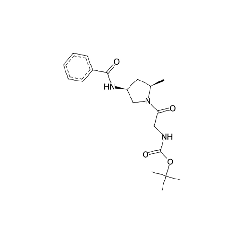 C[C@@H]1C[C@H](NC(=O)c2ccccc2)CN1C(=O)CNC(=O)OC(C)(C)C